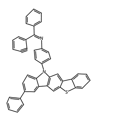 c1cccc(/C(=N\c2ccc(-n3c4ccc(-c5ccccc5)cc4c4cc5sc6ccccc6c5cc43)cc2)c2ccccc2)c#1